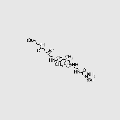 CC(C)(C)CCNC(=O)CC[S+]([O-])CCNC(C)(C)CCC(C)(C)CC(=O)NCCNC(=O)CN(N)C(C)(C)C